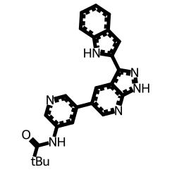 CC(C)(C)C(=O)Nc1cncc(-c2cnc3[nH]nc(-c4cc5ccccc5[nH]4)c3c2)c1